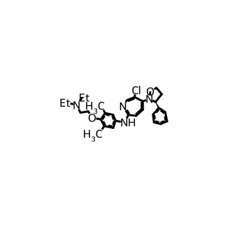 CCN(CC)CCOc1c(C)cc(NC2=NC=C(Cl)C(N3OCC[C@H]3c3ccccc3)=C=C2)cc1C